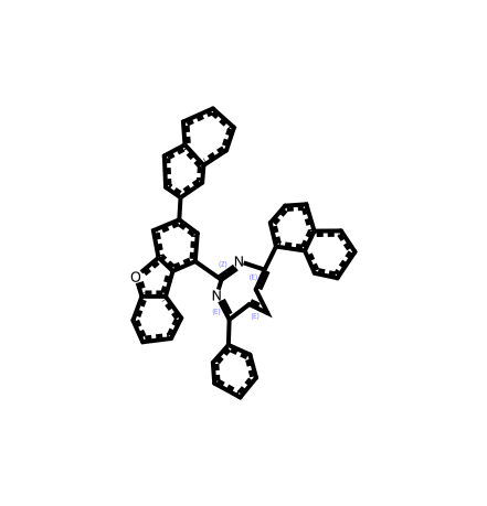 C1=C/C(c2ccccc2)=N\C(c2cc(-c3ccc4ccccc4c3)cc3oc4ccccc4c23)=N/C(c2cccc3ccccc23)=C/1